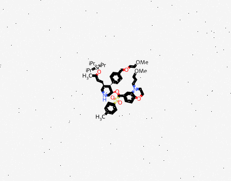 COCCCN1CCOc2ccc(C(O[C@H]3CNC[C@@H](CCC(C)O[Si](C(C)C)(C(C)C)C(C)C)[C@@H]3c3ccc(COCCOC)cc3)S(=O)(=O)c3ccc(C)cc3)cc21